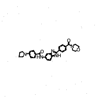 O=C(Nc1ccc2[nH]c(-c3ccc(C(=O)N4CCOCC4)cc3)nc2c1)c1ccc(N2CCCC2)cc1